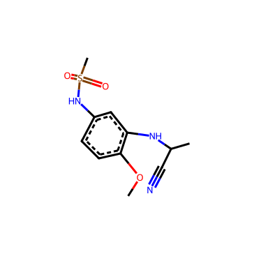 COc1ccc(NS(C)(=O)=O)cc1NC(C)C#N